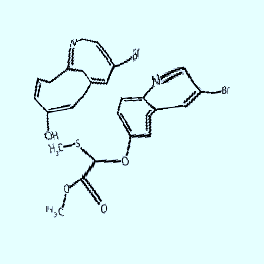 COC(=O)C(Oc1ccc2ncc(Br)cc2c1)SC.Oc1ccc2ncc(Br)cc2c1